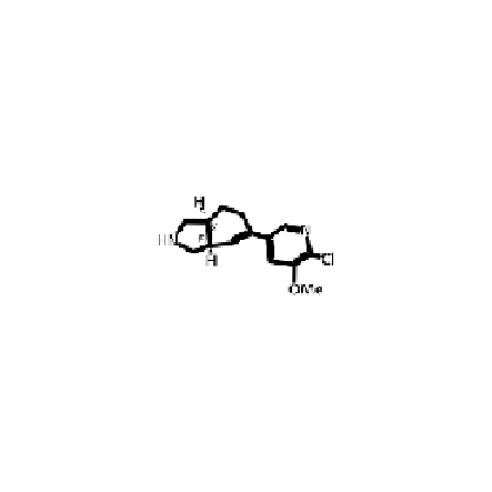 COc1cc(C2=C[C@H]3CNC[C@H]3CC2)cnc1Cl